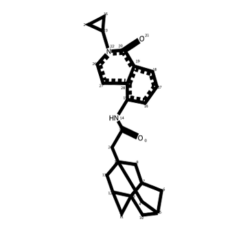 O=C(CC12CC3CC(C1)C1(C3)CC1C2)Nc1cccc2c(=O)n(C3CC3)ccc12